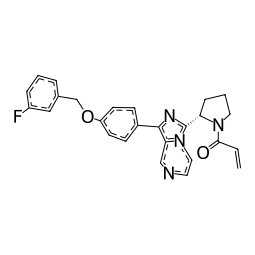 C=CC(=O)N1CCC[C@H]1c1nc(-c2ccc(OCc3cccc(F)c3)cc2)c2cnccn12